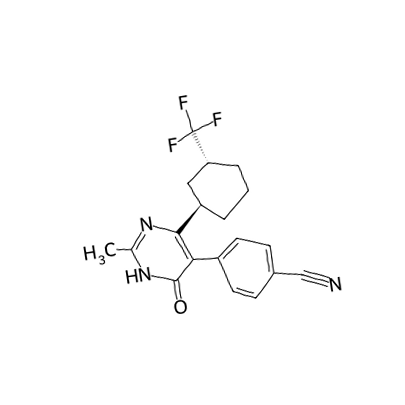 Cc1nc([C@@H]2CCC[C@@H](C(F)(F)F)C2)c(-c2ccc(C#N)cc2)c(=O)[nH]1